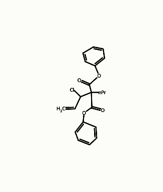 C=CC(Cl)C(CCC)(C(=O)Oc1ccccc1)C(=O)Oc1ccccc1